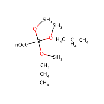 C.C.C.C.C.C.CCCCCCCC[Si](O[SiH3])(O[SiH3])O[SiH3]